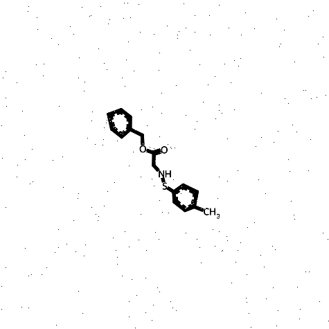 Cc1ccc(SNCC(=O)OCc2ccccc2)cc1